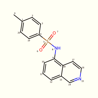 Cc1ccc(S(=O)(=O)Nc2cccc3cnccc23)cc1